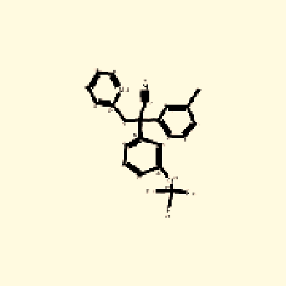 Cc1cccc(C(C#N)(Cc2ccccn2)c2cccc(OC(F)(F)F)c2)c1